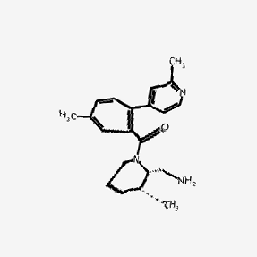 Cc1ccc(-c2ccnc(C)c2)c(C(=O)N2CCC[C@@H](C)[C@H]2CN)c1